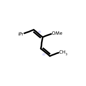 C/C=C\C(=C/C(C)C)OC